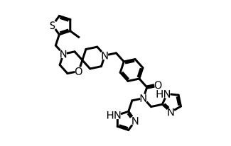 Cc1ccsc1CN1CCOC2(CCN(Cc3ccc(C(=O)N(Cc4ncc[nH]4)Cc4ncc[nH]4)cc3)CC2)C1